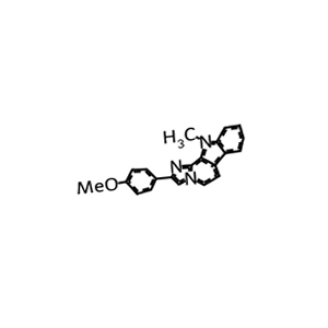 COc1ccc(-c2cn3ccc4c5ccccc5n(C)c4c3n2)cc1